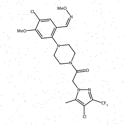 CO/N=C\c1cc(Cl)c(OC)cc1N1CCN(C(=O)Cn2nc(C(F)(F)F)c(Cl)c2C)CC1